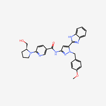 COc1ccc(Cn2nc(NC(=O)c3ccc(N4CCC[C@H]4CO)nc3)cc2-c2nc3ccccc3[nH]2)cc1